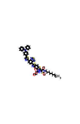 CCCCCCCCN1C(=O)S/C(=c2/s/c(=C/c3cnc(-c4ccc(-c5ncc(-c6ccc(N(c7ccccc7)c7ccccc7)cc6)s5)c5nsnc45)s3)c(=O)n2NOC=O)C1=O